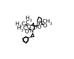 CC(C)(C)OC(=O)N(CC1(CN2CCC[C@@]2(C)C(=O)O)CC1)[C@@H]1C[C@H]1c1ccccc1